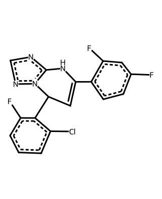 Fc1ccc(C2=CC(c3c(F)cccc3Cl)n3ncnc3N2)c(F)c1